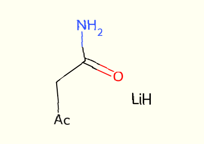 CC(=O)CC(N)=O.[LiH]